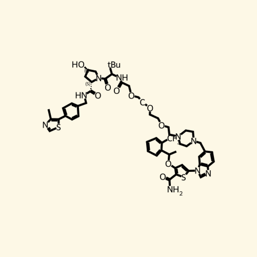 Cc1ncsc1-c1ccc(CNC(=O)[C@@H]2C[C@@H](O)CN2C(=O)C(NC(=O)COCCOCCOCCN2CCN(Cc3ccc4ncn(-c5cc(OC(C)c6ccccc6C(F)(F)F)c(C(N)=O)s5)c4c3)CC2)C(C)(C)C)cc1